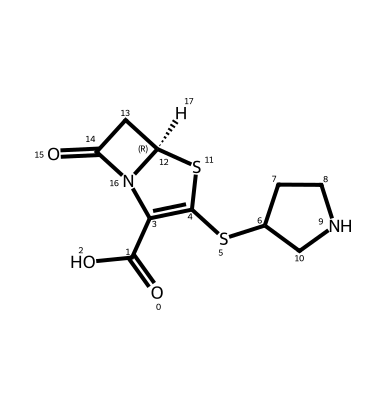 O=C(O)C1=C(SC2CCNC2)S[C@@H]2CC(=O)N12